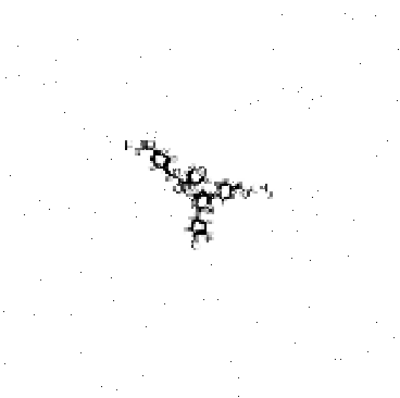 COCC1CCN(c2cc(OC3(C(=O)OCc4ccc(OC)cc4)CCOCC3)nc(-c3ccc(Cl)c(F)c3)n2)CC1